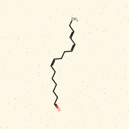 CC/C=C/C=C\CC/C=C\CCCCCC=O